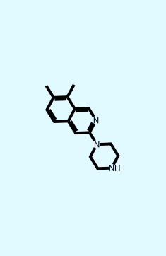 Cc1ccc2cc(N3CCNCC3)ncc2c1C